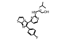 CC(C)C[C@H](CO)Nc1nccc(-c2c(-c3ccc(F)cc3)nc3sccn23)n1